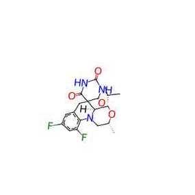 CC(C)[C@@H]1O[C@H](C)CN2c3c(F)cc(F)cc3CC3(C(=O)NC(=O)NC3=O)[C@@H]12